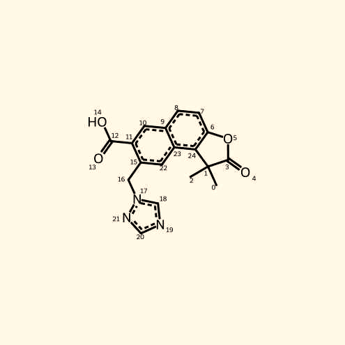 CC1(C)C(=O)Oc2ccc3cc(C(=O)O)c(Cn4cncn4)cc3c21